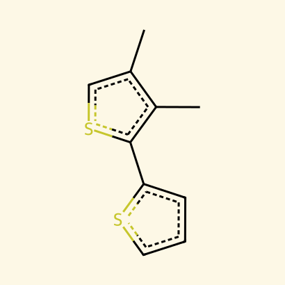 Cc1csc(-c2cccs2)c1C